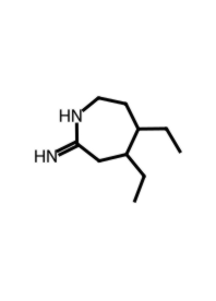 CCC1CCNC(=N)CC1CC